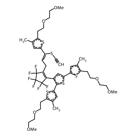 C#CS/C(=C\CC1=C(c2cc(-c3cc(C)c(CCOCCOC)s3)sc2-c2cc(C)c(CCOCCOC)s2)C(F)(F)C(F)(F)C1(F)F)c1cc(C)c(CCOCCOC)s1